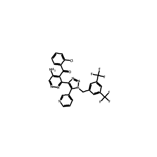 Nc1cnnc(-c2nnn(Cc3cc(C(F)(F)F)cc(C(F)(F)F)c3)c2-c2cccnc2)c1C(=O)c1ccccc1Cl